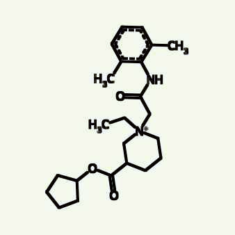 CC[N+]1(CC(=O)Nc2c(C)cccc2C)CCCC(C(=O)OC2CCCC2)C1